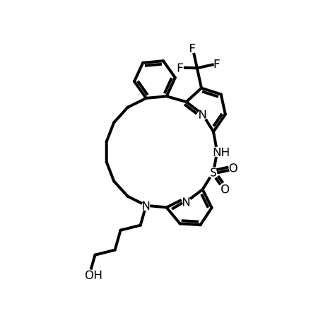 O=S1(=O)Nc2ccc(C(F)(F)F)c(n2)-c2ccccc2CCCCCCN(CCCCO)c2cccc1n2